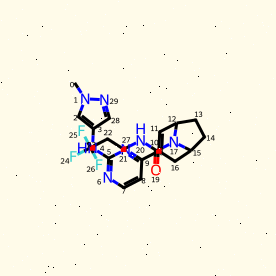 Cn1cc(Nc2nccc(C3=CC4CCC(C3)N4C(=O)NCCC(F)(F)F)n2)cn1